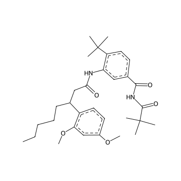 CCCCCC(CC(=O)Nc1cc(C(=O)NC(=O)C(C)(C)C)ccc1C(C)(C)C)c1ccc(OC)cc1OC